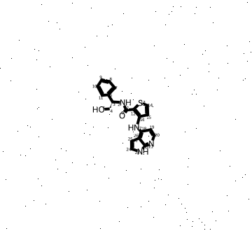 O=C(N[C@H](CO)c1ccccc1)c1sccc1Nc1ccnc2[nH]ccc12